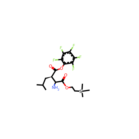 CC(C)C[C@@H](C(=O)Oc1c(F)c(F)c(F)c(F)c1F)C(N)C(=O)OCC[Si](C)(C)C